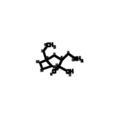 CCC1(CC(CN)C(=O)O)CCC1